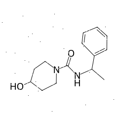 CC(NC(=O)N1CCC(O)CC1)c1ccccc1